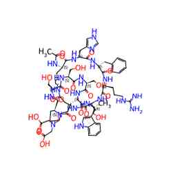 CC(=O)N[C@H]1CCNC(=O)C[C@@H](C(=O)N2CCC[C@H]2C(=O)N[C@@H](CO)C(=O)N[C@@H](CO)C(=O)N[C@@H](CO)C(=O)N[C@@H](CCCCN(CC(=O)O)CC(=O)O)C(=O)N[C@H](C)CO)NC(=O)[C@H](Cc2c[nH]c3ccccc23)NC(=O)[C@H](CCCNC(=N)N)NC(=O)[C@@H](Cc2ccccc2)NC(=O)[C@H](Cc2c[nH]cn2)NC1=O